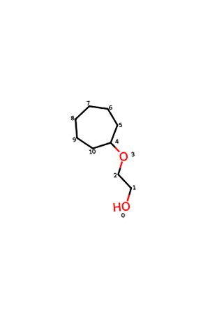 OCCOC1CCCCCC1